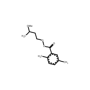 COC(C)C[CH]OOC(=O)c1cc(C)ccc1C